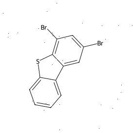 Brc1cc(Br)c2sc3ccccc3c2c1